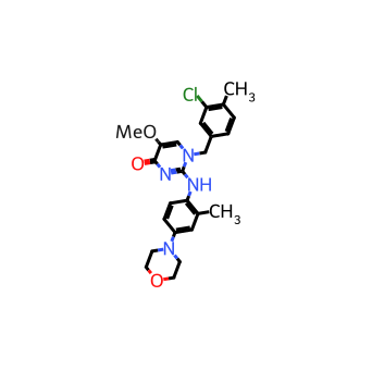 COc1cn(Cc2ccc(C)c(Cl)c2)c(Nc2ccc(N3CCOCC3)cc2C)nc1=O